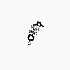 Cc1ccc(/C=N\NS(=O)(=O)c2ccc(Cl)cc2)o1